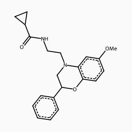 COc1ccc2c(c1)N(CCNC(=O)C1CC1)CC(c1ccccc1)O2